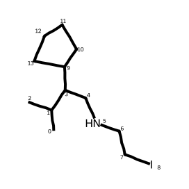 CC(C)C(CNCCI)C1CCCC1